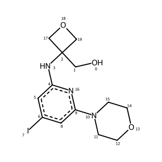 OCC1(Nc2cc(I)cc(N3CCOCC3)n2)COC1